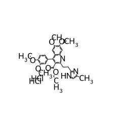 CCOC(=O)c1c(CCc2nc(C)c[nH]2)nc2cc(OC)c(OC)cc2c1-c1ccc(OC)c(OC)c1.Cl.Cl